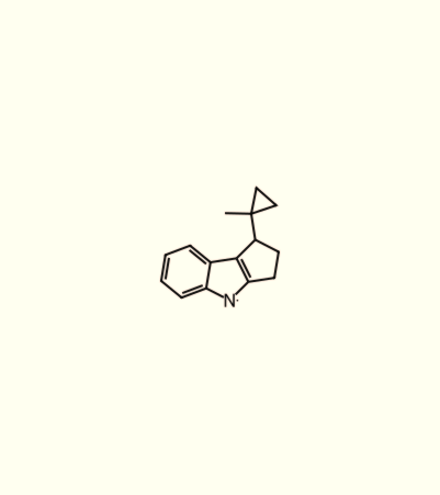 CC1(C2CCC3=C2c2ccccc2[N]3)CC1